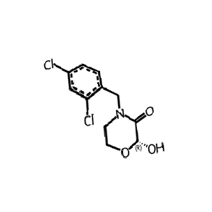 O=C1[C@H](O)OCCN1Cc1ccc(Cl)cc1Cl